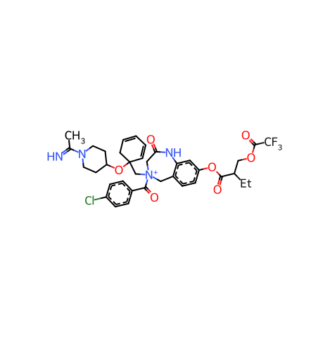 CCC(COC(=O)C(F)(F)F)C(=O)Oc1ccc2c(c1)NC(=O)C[N+](CC1(OC3CCN(C(C)=N)CC3)C=CC=CC1)(C(=O)c1ccc(Cl)cc1)C2